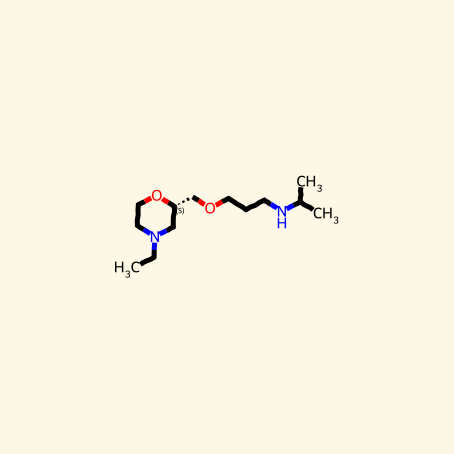 CCN1CCO[C@H](COCCCNC(C)C)C1